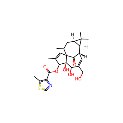 CC1=CC23C(=O)[C@@H](C=C(CO)[C@@H](O)[C@]2(O)[C@H]1OC(=O)c1ncsc1C)[C@H]1[C@@H](CC3C)C1(C)C